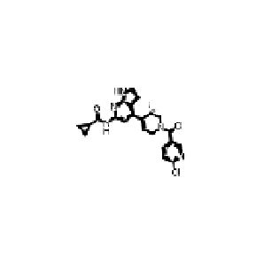 C[C@@H]1CN(C(=O)c2ccc(Cl)nc2)CC=C1c1cc(NC(=O)C2CC2)nc2[nH]ccc12